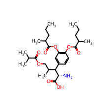 CCCC(C)C(=O)Oc1ccc(C(C(C)COC(=O)C(C)C)[C@H](N)C(=O)O)cc1OC(=O)C(C)CCC